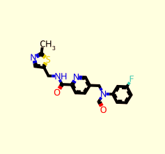 Cc1ncc(CNC(=O)c2ccc(CN(C=O)c3cccc(F)c3)cn2)s1